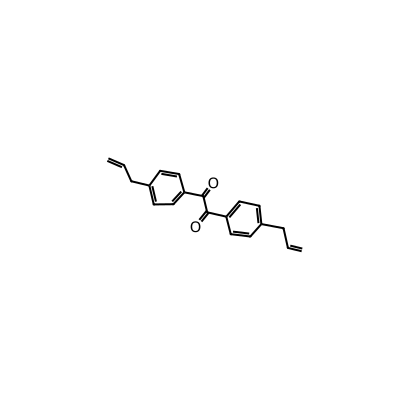 C=CCc1ccc(C(=O)C(=O)c2ccc(CC=C)cc2)cc1